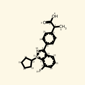 CC(C(=O)O)c1ccc(-c2nn(C3CCCC3)c3c(F)cccc23)cc1